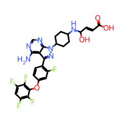 Nc1ncnc2c1c(-c1ccc(Oc3c(F)c(F)cc(F)c3F)cc1F)nn2C1CCC(NC(O)/C=C/C(=O)O)CC1